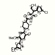 C=CC(c1ccc(Cl)s1)S(=O)(=O)NC(=O)C1CCN(c2nc(OC)c(-c3ncc(CC)o3)cc2Cl)CC1